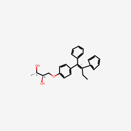 CC/C(=C(/c1ccccc1)c1ccc(OC[C@@H](O)[C@H](C)O)cc1)c1ccccc1